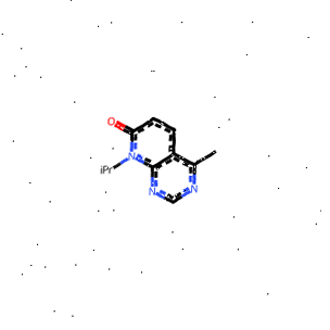 Cc1ncnc2c1ccc(=O)n2C(C)C